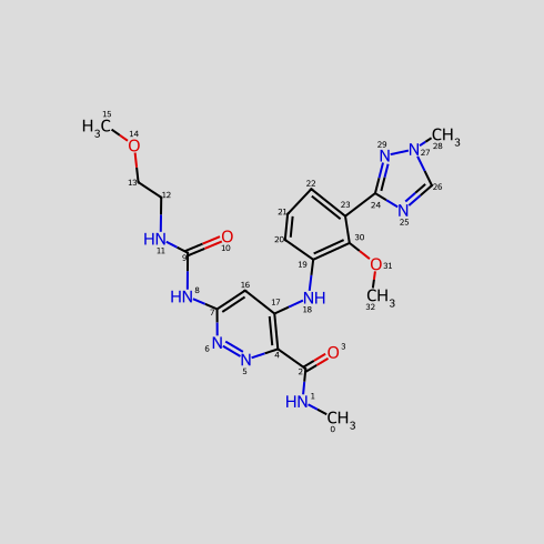 CNC(=O)c1nnc(NC(=O)NCCOC)cc1Nc1cccc(-c2ncn(C)n2)c1OC